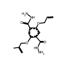 C=CCOc1cc(C(=O)NN)c(OCC(=C)C)cc1C(=O)NN